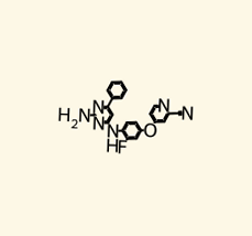 N#Cc1cc(Oc2ccc(Nc3cc(-c4ccccc4)nc(N)n3)c(F)c2)ccn1